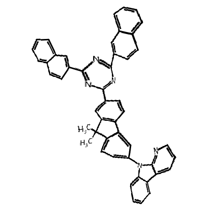 CC1(C)c2ccc(-n3c4ccccc4c4cccnc43)cc2-c2ccc(-c3nc(-c4ccc5ccccc5c4)nc(-c4ccc5ccccc5c4)n3)cc21